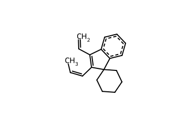 C=CC1=C(/C=C\C)C2(CCCCC2)c2ccccc21